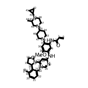 C=CC(=O)Nc1cc(Nc2cc(N3OCCC3c3c(F)cccc3F)ncn2)c(OC)cc1N1CCC(N2CCN(C3CC3)C(C)C2)CC1